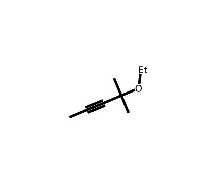 [CH2]COC(C)(C)C#CC